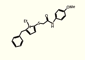 CCn1c(Cc2ccccc2)ccc1SCC(=O)Nc1ccc(OC)cc1